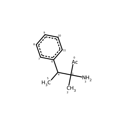 CC(=O)C(C)(N)C(C)c1ccccc1